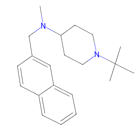 CN(Cc1ccc2ccccc2c1)C1CCN(C(C)(C)C)CC1